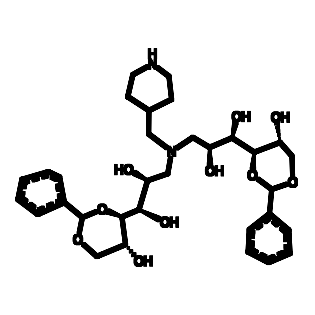 O[C@@H]([C@@H]1OC(c2ccccc2)OC[C@H]1O)[C@@H](O)CN(CC1CCNCC1)C[C@H](O)[C@@H](O)[C@@H]1OC(c2ccccc2)OC[C@H]1O